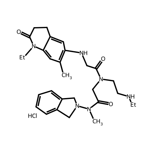 CCNCCN(CC(=O)N(C)N1Cc2ccccc2C1)C(=O)CNc1cc2c(cc1C)N(CC)C(=O)CC2.Cl